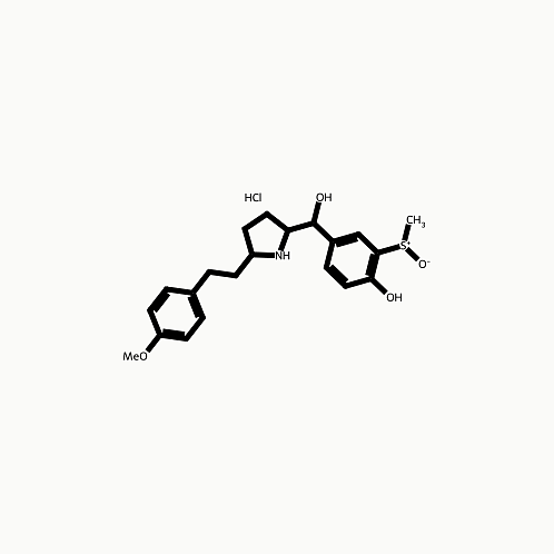 COc1ccc(CCC2CCC(C(O)c3ccc(O)c([S+](C)[O-])c3)N2)cc1.Cl